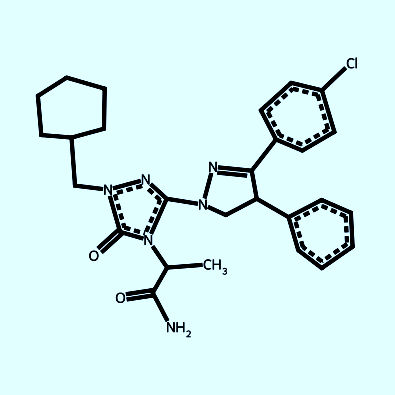 CC(C(N)=O)n1c(N2CC(c3ccccc3)C(c3ccc(Cl)cc3)=N2)nn(CC2CCCCC2)c1=O